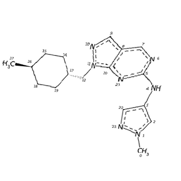 Cn1cc(Nc2ncc3cnn(C[C@H]4CC[C@H](C)CC4)c3n2)cn1